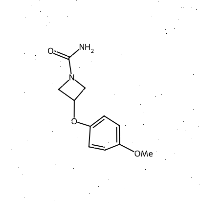 COc1ccc(OC2CN(C(N)=O)C2)cc1